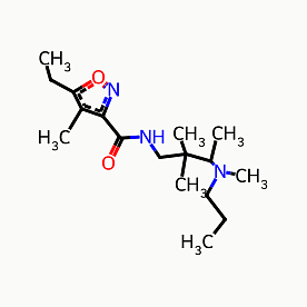 CCCN(C)C(C)C(C)(C)CNC(=O)c1noc(CC)c1C